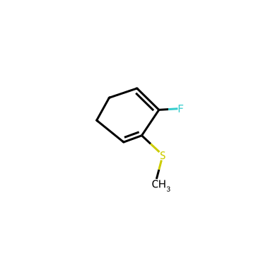 CSC1=CCCC=C1F